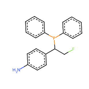 Nc1ccc(C(CF)P(c2ccccc2)c2ccccc2)cc1